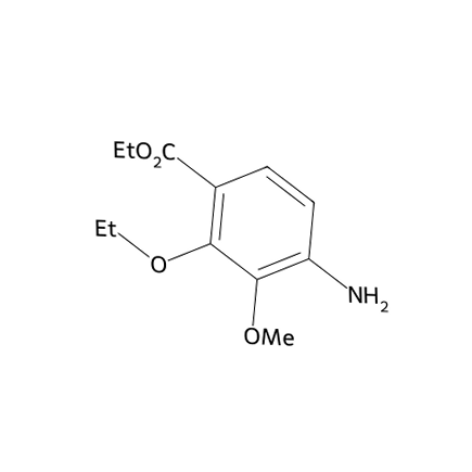 CCOC(=O)c1ccc(N)c(OC)c1OCC